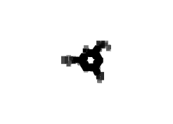 Nc1cc(Cl)cc(N)n1